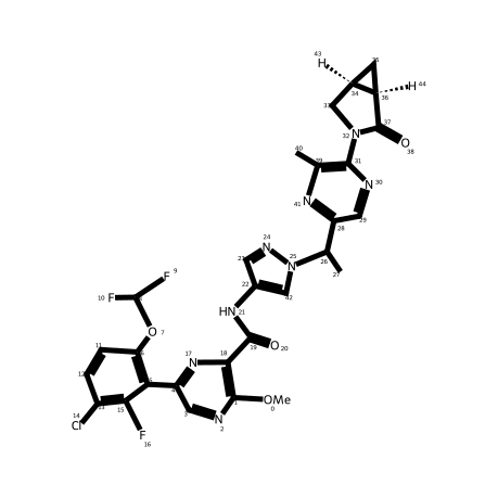 COc1ncc(-c2c(OC(F)F)ccc(Cl)c2F)nc1C(=O)Nc1cnn(C(C)c2cnc(N3C[C@H]4C[C@H]4C3=O)c(C)n2)c1